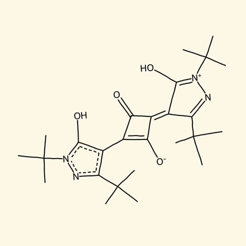 CC(C)(C)C1=N[N+](C(C)(C)C)=C(O)/C1=C1\C(=O)C(c2c(C(C)(C)C)nn(C(C)(C)C)c2O)=C1[O-]